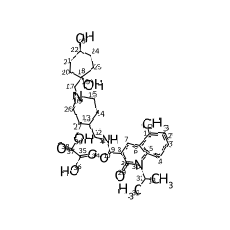 Cc1cccc2c1cc(C(=O)NCC1CCN(C[C@]3(O)CC[C@@H](O)CC3)CC1)c(=O)n2C(C)C.O=C(O)C(=O)O